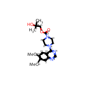 COc1cc2ncnc(N3CCN(C(=O)OCC(C)(C)O)CC3)c2cc1OC